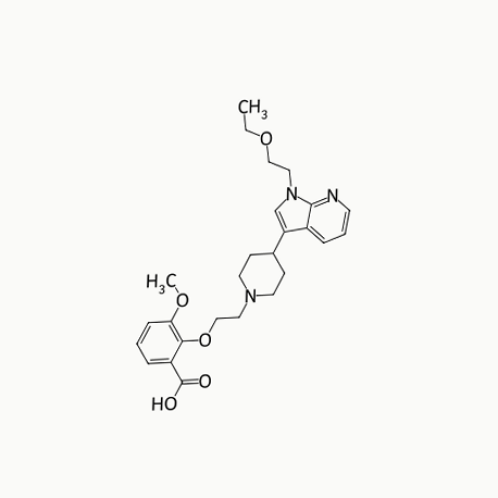 CCOCCn1cc(C2CCN(CCOc3c(OC)cccc3C(=O)O)CC2)c2cccnc21